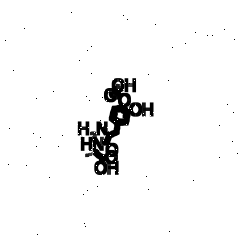 C[C@H](NC(=O)[C@@H](N)Cc1ccc(OS(=O)O)c(O)c1)C(=O)O